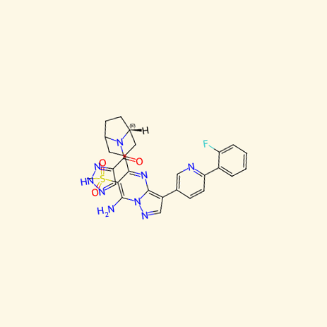 CS(=O)(=O)c1c(C2CC3CC[C@H](C2)N3C(=O)c2cn[nH]n2)nc2c(-c3ccc(-c4ccccc4F)nc3)cnn2c1N